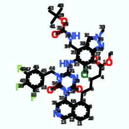 COC(=O)CCCCc1cccc2cncc(-n3c(=O)nc(Nc4c(Cl)cc5nn(C)cc5c4CNC(=O)OC(C)(C)C)n(Cc4cc(F)c(F)c(F)c4)c3=O)c12